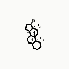 CC[C@@H]1CC[C@H]2[C@@H]3CC=C4CCCC[C@]4(C)[C@H]3CC[C@]12C